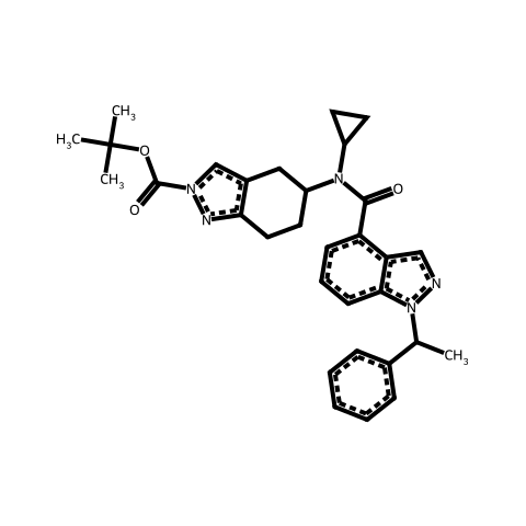 CC(c1ccccc1)n1ncc2c(C(=O)N(C3CC3)C3CCc4nn(C(=O)OC(C)(C)C)cc4C3)cccc21